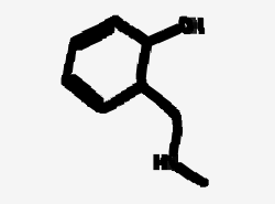 CNCC1C=CC=CC1O